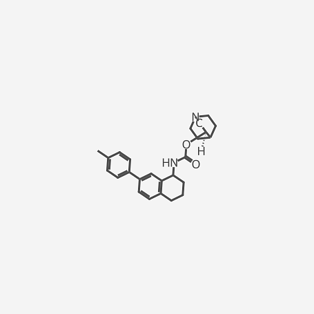 Cc1ccc(-c2ccc3c(c2)C(NC(=O)O[C@H]2CN4CCC2CC4)CCC3)cc1